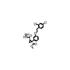 COC(=O)[C@]1(c2cccc(OCCc3ccc(Cl)cc3Cl)c2)C[C@H]1C(=O)NO